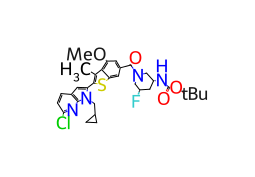 COc1cc(C(=O)N2C[C@H](F)C[C@@H](NC(=O)OC(C)(C)C)C2)cc2sc(-c3cc4ccc(Cl)nc4n3CC3CC3)c(C)c12